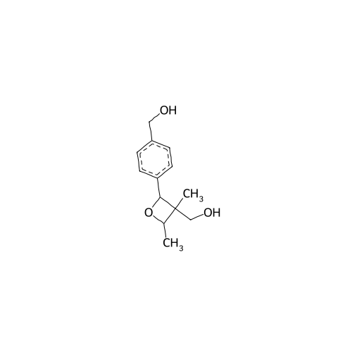 CC1OC(c2ccc(CO)cc2)C1(C)CO